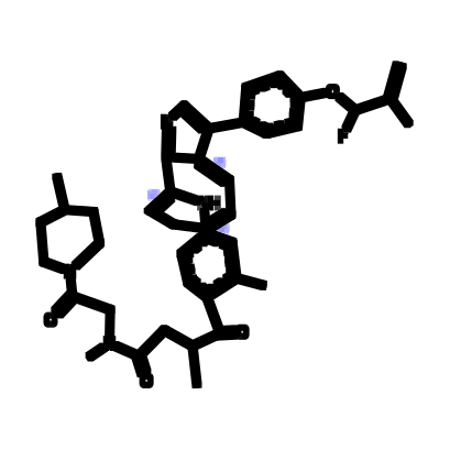 C=C(C)C(F)Oc1ccc(C2=CN=C3/C(Nc4ccc(C(=O)C(C)CC(=O)N(C)CC(=O)N5CCC(C)CC5)c(C)c4)=C/C/C=C\C=C\23)cc1